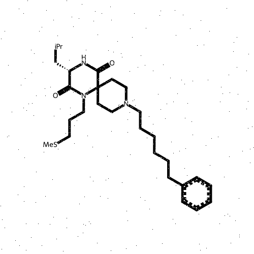 CSCCCN1C(=O)[C@H](CC(C)C)NC(=O)C12CCN(CCCCCCc1ccccc1)CC2